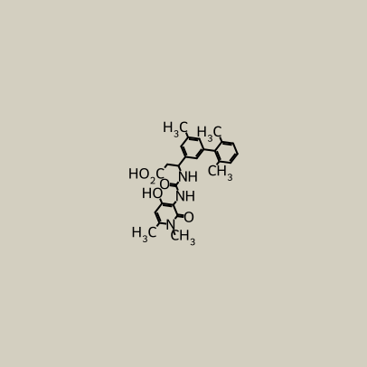 Cc1cc(-c2c(C)cccc2C)cc(C(CC(=O)O)NC(=O)Nc2c(O)cc(C)n(C)c2=O)c1